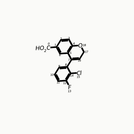 O=C(O)c1ccc2c(c1)C(c1cccc(F)c1Cl)=CCO2